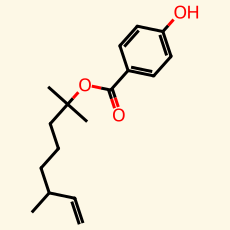 C=CC(C)CCCC(C)(C)OC(=O)c1ccc(O)cc1